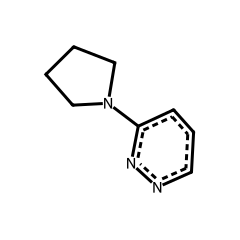 c1cnnc(N2CCCC2)c1